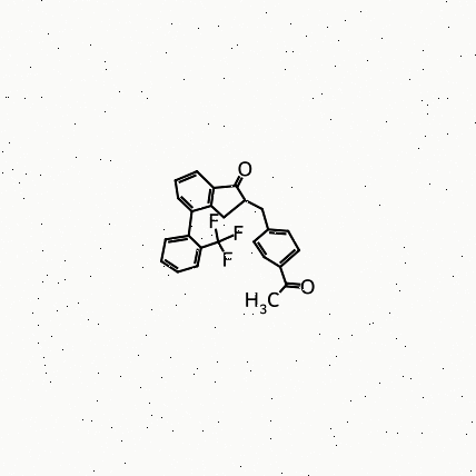 CC(=O)c1ccc(CC2Cc3c(cccc3-c3ccccc3C(F)(F)F)C2=O)cc1